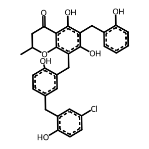 CC1CC(=O)c2c(O)c(Cc3ccccc3O)c(O)c(Cc3cc(Cc4cc(Cl)ccc4O)ccc3O)c2O1